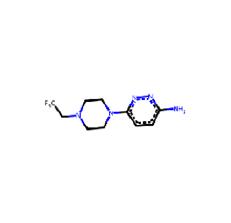 Nc1ccc(N2CCN(CC(F)(F)F)CC2)nn1